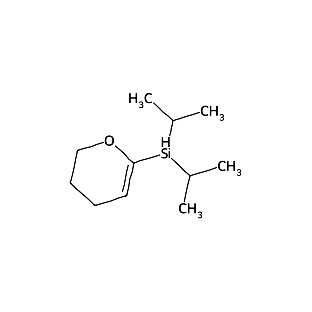 CC(C)[SiH](C1=CCCCO1)C(C)C